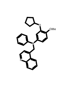 COc1ccc(N(Cc2ccnc3ccccc23)c2ccccc2)cc1OC1CCCC1